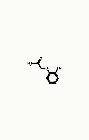 N#Cc1ncccc1OCC(N)=O